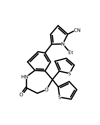 CCn1c(C#N)ccc1-c1ccc2c(c1)C(c1cccs1)(c1cccs1)OCC(=O)N2